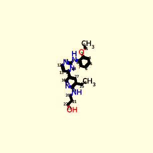 CCOc1ccccc1Nc1nccc(-c2cnc(NCCCO)c(CC)c2)n1